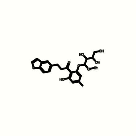 Cc1cc(O)c(C(=O)CCc2ccc3occc3c2)c(OC(OC(C)C)C(O)C(O)CO)c1